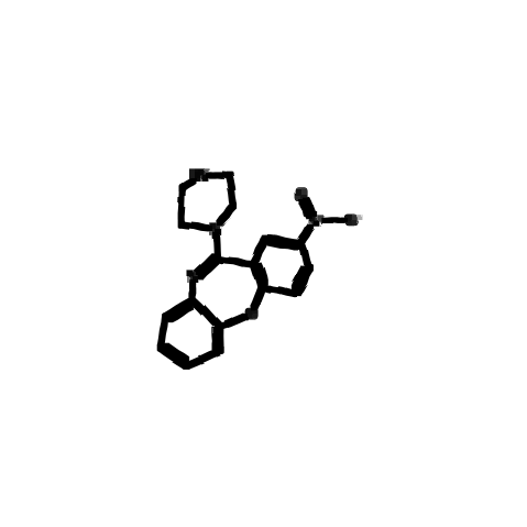 O=[N+]([O-])c1ccc2c(c1)C(N1CCNCC1)=Nc1ccccc1O2